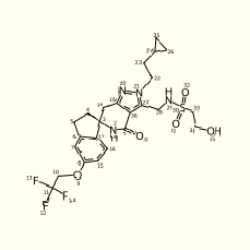 O=C1N[C@@]2(CCc3cc(OCC(F)(F)F)ccc32)Cc2nn(CCC3CC3)c(CNS(=O)(=O)CCO)c21